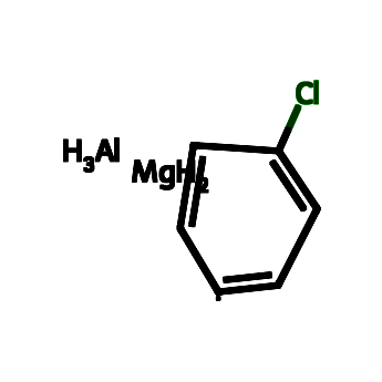 Clc1cc[c]cc1.[AlH3].[MgH2]